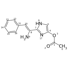 CC(=O)Oc1c[nH]c(C(N)=Cc2ccccc2)n1